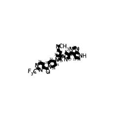 C/N=C\CC1(n2cc(-c3ncnc4[nH]ccc34)cn2)CN(C2CCN(C(=O)c3ccnc(C(F)(F)F)n3)CC2)C1